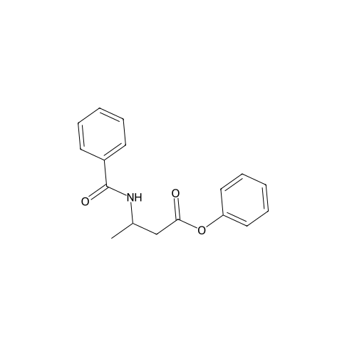 CC(CC(=O)Oc1ccccc1)NC(=O)c1ccccc1